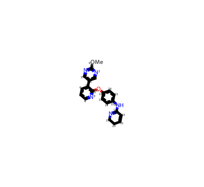 COc1ncc(-c2cccnc2Oc2ccc(NC3=NCCC=C3)cc2)cn1